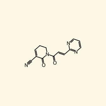 N#CC1=CCCN(C(=O)C=Cc2ncccn2)C1=O